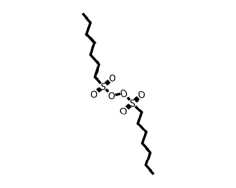 CCCCCCCS(=O)(=O)OOS(=O)(=O)CCCCCCC